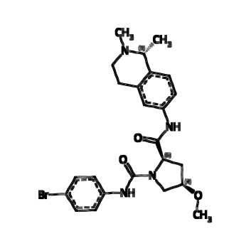 CO[C@@H]1C[C@H](C(=O)Nc2ccc3c(c2)CCN(C)[C@@H]3C)N(C(=O)Nc2ccc(Br)cc2)C1